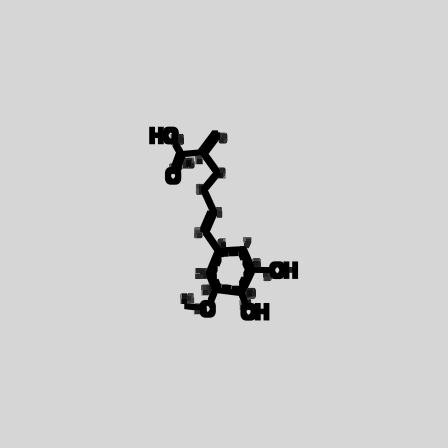 C=C(CCC=Cc1cc(O)c(O)c(OC)c1)C(=O)O